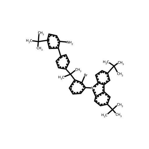 CC(C)(C)c1ccc(N)c(-c2ccc(C(C)(C)c3cccc(-n4c5ccc(C(C)(C)C)cc5c5cc(C(C)(C)C)ccc54)c3Br)cc2)c1